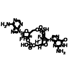 Nc1nc2c(ncn2[C@@H]2O[C@@H]3COP(=O)(O)O[C@@H]4C(COP(=O)(S)O[C@@H]2[C@@H]3F)O[C@@H](n2cnc3c(N)ncnc32)[C@H]4F)c(=O)[nH]1